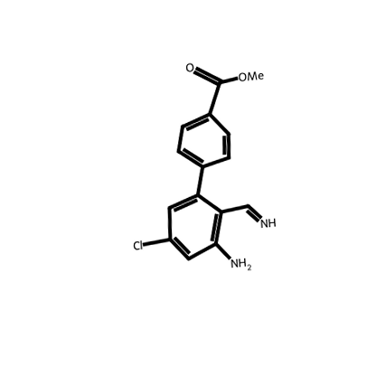 COC(=O)c1ccc(-c2cc(Cl)cc(N)c2C=N)cc1